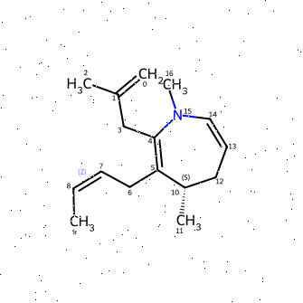 C=C(C)CC1=C(C/C=C\C)[C@@H](C)CC=CN1C